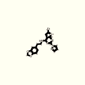 CCc1cc2c(NCCc3ccc4c(c3)OCO4)nc(-n3cccn3)nc2s1